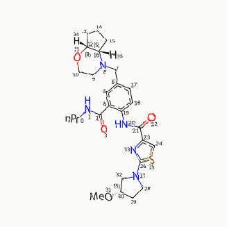 CCCNC(=O)c1cc(CN2CCO[C@@H]3CCC[C@@H]32)ccc1NC(=O)c1csc(N2CC[C@H](OC)C2)n1